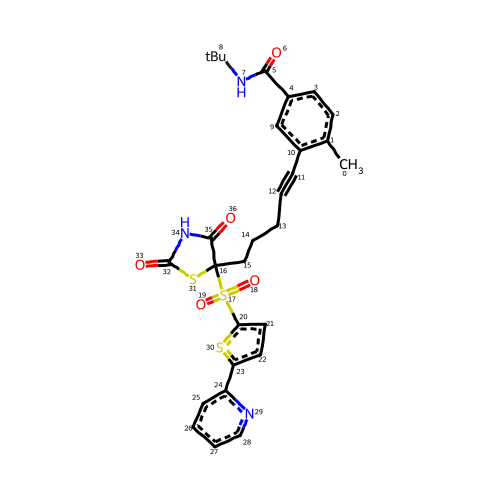 Cc1ccc(C(=O)NC(C)(C)C)cc1C#CCCCC1(S(=O)(=O)c2ccc(-c3ccccn3)s2)SC(=O)NC1=O